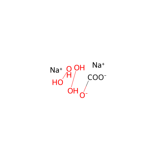 O=C([O-])[O-].OO.OO.[Na+].[Na+]